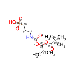 CC(C)[C@@H](OC(=O)NCCCS(=O)(=O)O)OC(=O)C(C)(C)C